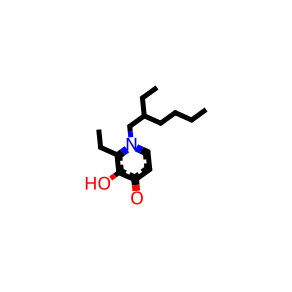 CCCCC(CC)Cn1ccc(=O)c(O)c1CC